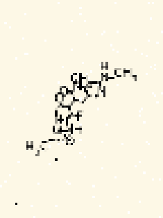 CCCS(=O)(=O)Nc1ncc(Cl)c(-c2cc3cnc(NCC)cc3n(C)c2=O)c1F